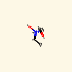 C=O.CCC=[NH+][O-]